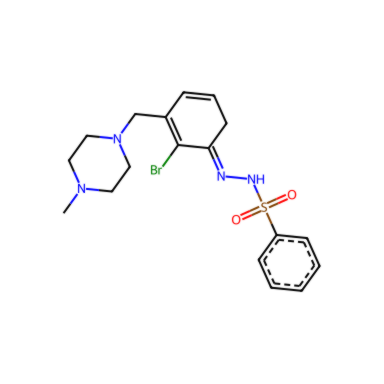 CN1CCN(CC2=C(Br)C(=NNS(=O)(=O)c3ccccc3)CC=C2)CC1